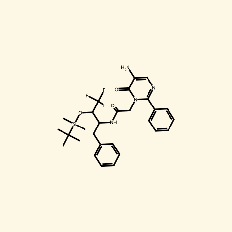 CC(C)(C)[Si](C)(C)OC(C(Cc1ccccc1)NC(=O)Cn1c(-c2ccccc2)ncc(N)c1=O)C(F)(F)F